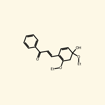 CCOC1=C(C=CC(=O)c2ccccc2)C=CC(O)(OCC)C1